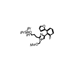 COCn1cc(-c2c(F)cccc2-c2ccco2)nc1CCCO[Si](C(C)C)(C(C)C)C(C)C